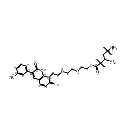 CC(C)(N)CC(N)C(C)(C)C(=O)OCCOCCOCCn1c(=O)ccc2cc(-c3cccc(C#N)c3)c(=O)oc21